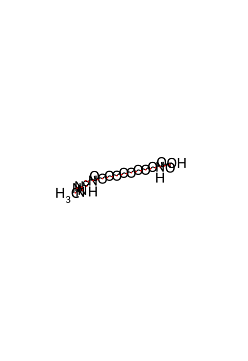 Cc1nnc(-c2ccc(CNC(=O)CCOCCOCCOCCOCCOCCOCCOCCOCCNC(=O)CCC(=O)O)cc2)nn1